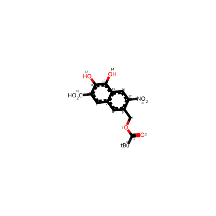 CC(C)(C)C(=O)OCc1cc2cc(C(=O)O)c(O)c(O)c2cc1[N+](=O)[O-]